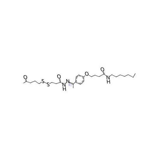 CCCCCCCNC(=O)CCCOc1ccc(/C(C)=N/NC(=O)CCSSCCCC(C)=O)cc1